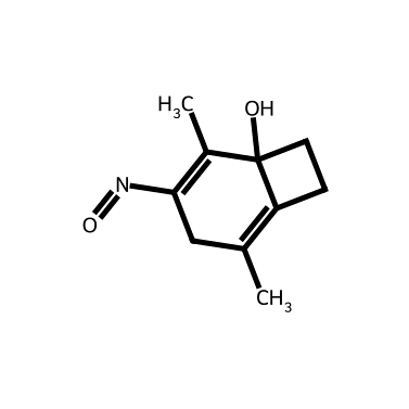 CC1=C2CCC2(O)C(C)=C(N=O)C1